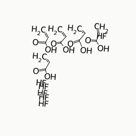 C=CC(=O)O.C=CC(=O)O.C=CC(=O)O.C=CC(=O)O.C=CC(=O)O.F.F.F.F.F.F